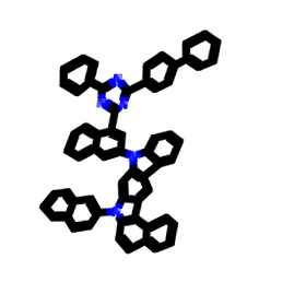 c1ccc(-c2ccc(-c3nc(-c4ccccc4)nc(-c4cc(-n5c6ccccc6c6cc7c8c9ccccc9ccc8n(-c8ccc9ccccc9c8)c7cc65)cc5ccccc45)n3)cc2)cc1